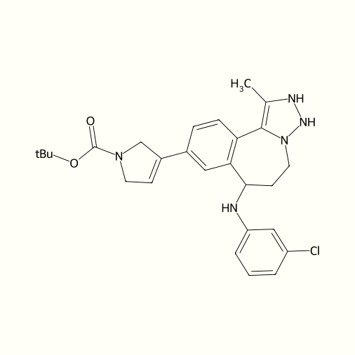 CC1=C2c3ccc(C4=CCN(C(=O)OC(C)(C)C)C4)cc3C(Nc3cccc(Cl)c3)CCN2NN1